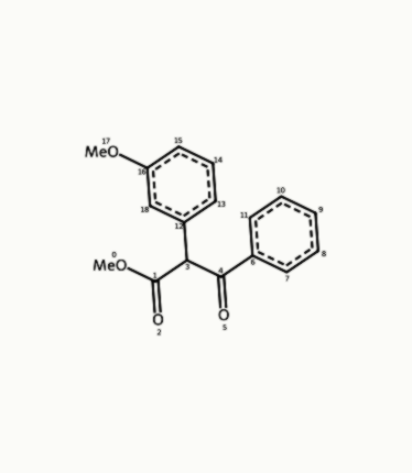 COC(=O)C(C(=O)c1ccccc1)c1cccc(OC)c1